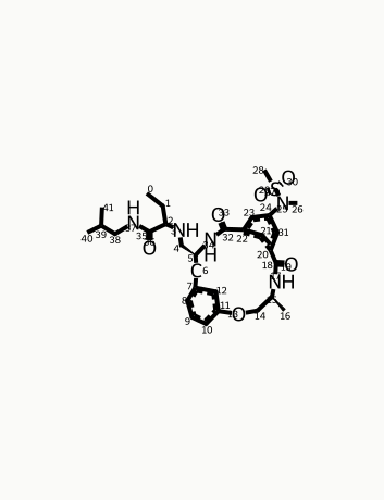 CCC(NC[C@@H]1Cc2cccc(c2)OC[C@H](C)NC(=O)c2cc(cc(N(C)S(C)(=O)=O)c2)C(=O)N1)C(=O)NCC(C)C